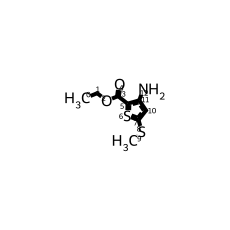 CCOC(=O)c1sc(SC)cc1N